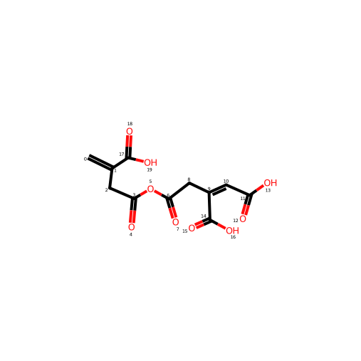 C=C(CC(=O)OC(=O)CC(=CC(=O)O)C(=O)O)C(=O)O